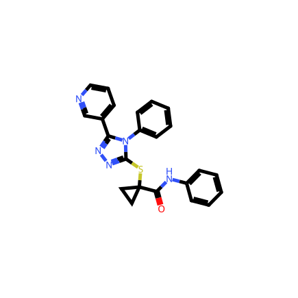 O=C(Nc1ccccc1)C1(Sc2nnc(-c3cccnc3)n2-c2ccccc2)CC1